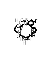 Cc1nc2cc(F)cc3c2n1C[C@H]1CN(CCCO1)C(=O)[C@@H]1C[C@@H](CN1)Nc1cccc-3n1